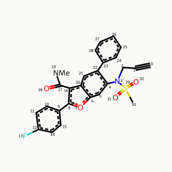 C#CCN(c1cc2oc(-c3ccc(F)cc3)c(C(=O)NC)c2cc1-c1ccccc1)S(C)(=O)=O